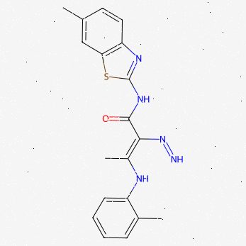 C/C(Nc1ccccc1C)=C(/N=N)C(=O)Nc1nc2ccc(C)cc2s1